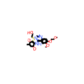 COCCOc1cc2ncnc(NC3=C(SCCO)C(=O)C(C)=CC3=O)c2cc1OC